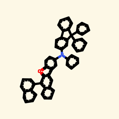 c1ccc(N(c2ccc3c(c2)C(c2ccccc2)(c2ccccc2)c2ccccc2-3)c2ccc3oc4c(-c5cccc6ccccc56)c5ccccc5cc4c3c2)cc1